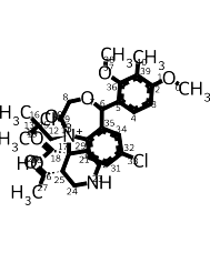 COc1ccc(C2OCC(=O)[N@@+](CC(C)(C)C)([C@@]3(C(=O)O)CCNC[C@@H]3C(C)=O)c3ccc(Cl)cc32)c(OC)c1C